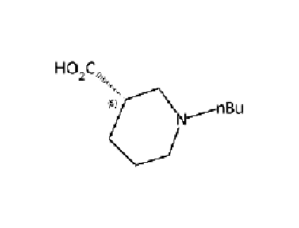 CCCCN1CCC[C@H](C(=O)O)C1